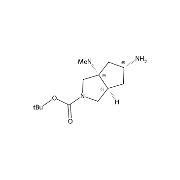 CN[C@]12C[C@H](N)C[C@H]1CN(C(=O)OC(C)(C)C)C2